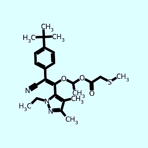 CCn1nc(C)c(C)c1/C(OC(C)OC(=O)CSC)=C(\C#N)c1ccc(C(C)(C)C)cc1